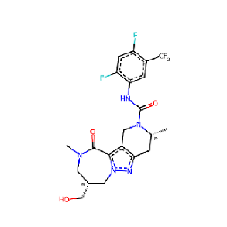 C[C@@H]1Cc2nn3c(c2CN1C(=O)Nc1cc(C(F)(F)F)c(F)cc1F)C(=O)N(C)C[C@@H](CO)C3